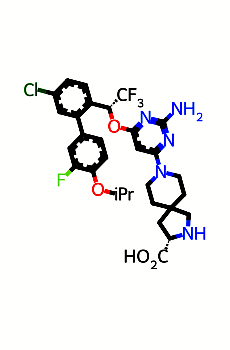 CC(C)Oc1ccc(-c2cc(Cl)ccc2[C@@H](Oc2cc(N3CCC4(CC3)CN[C@H](C(=O)O)C4)nc(N)n2)C(F)(F)F)cc1F